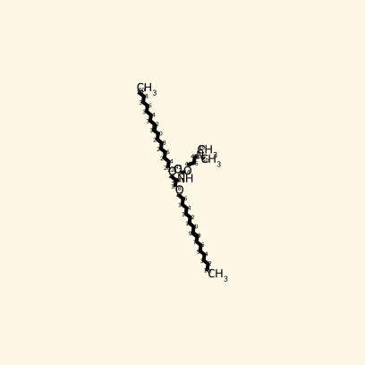 CCCCCCCCC=CCCCCCCCCOCC(COCCCCCCCCC=CCCCCCCCC)NC(=O)OCCCN(C)C